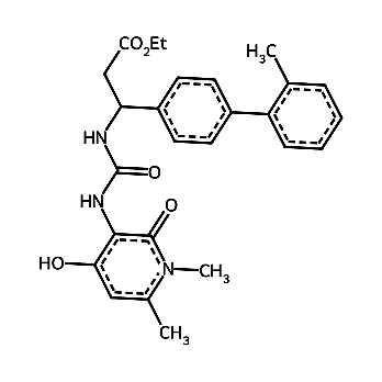 CCOC(=O)CC(NC(=O)Nc1c(O)cc(C)n(C)c1=O)c1ccc(-c2ccccc2C)cc1